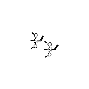 C=C[Si](C)(OC)OC.C=C[Si](C)(OC)OC